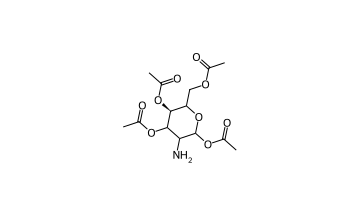 CC(=O)OCC1OC(OC(C)=O)C(N)C(OC(C)=O)[C@H]1OC(C)=O